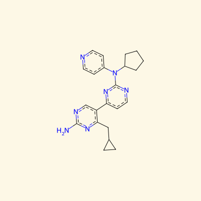 Nc1ncc(-c2ccnc(N(c3ccncc3)C3CCCC3)n2)c(CC2CC2)n1